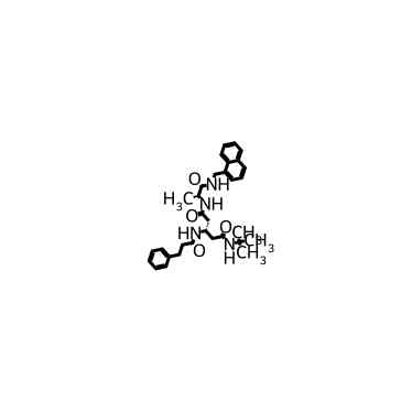 C[C@H](NC(=O)C[C@H](CC(=O)NC(C)(C)C)NC(=O)CCc1ccccc1)C(=O)NCc1cccc2ccccc12